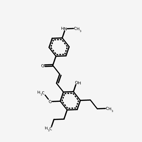 CCCc1cc(CCC)c(OC)c(C=CC(=O)c2ccc(NC)cc2)c1O